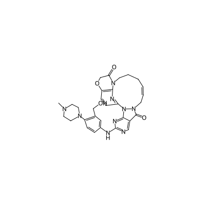 CN1CCN(c2ccc(Nc3ncc4c(=O)n5n(c4n3)-c3ccc4c(n3)N(CCC/C=C\C5)C(=O)CO4)cc2CO)CC1